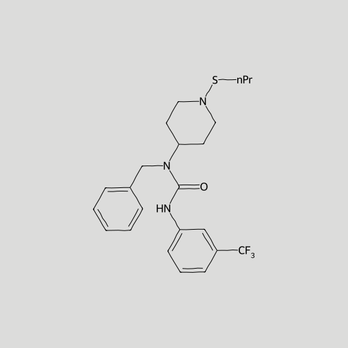 CCCSN1CCC(N(Cc2ccccc2)C(=O)Nc2cccc(C(F)(F)F)c2)CC1